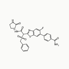 NC(=O)c1ccc(-c2cc3sc(C(C(=O)N[C@@H]4CCNC4=O)S(=O)(=O)Cc4ccccc4)nc3cc2F)cc1